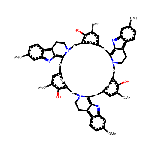 COc1ccc2c(c1)=NC1=C3Cc4cc(c(O)c(OC)c4)CN4CCC5=c6ccc(OC)cc6=NC5=C4Cc4cc(c(O)c(OC)c4)CN4CCC5=c6ccc(OC)cc6=NC5=C4Cc4cc(c(O)c(OC)c4)CN3CCC=21